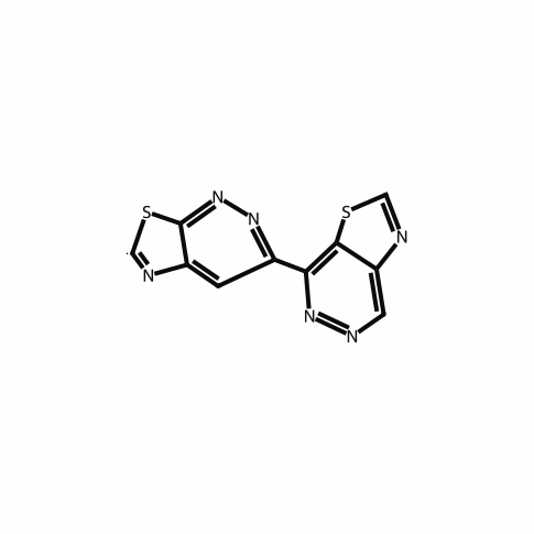 [c]1nc2cc(-c3nncc4ncsc34)nnc2s1